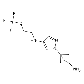 NC12CC(n3cc(NCCOC(F)(F)F)cn3)(C1)C2